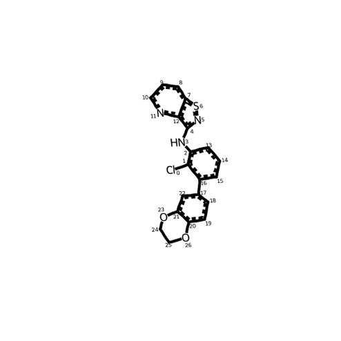 Clc1c(Nc2nsc3cccnc23)cccc1-c1ccc2c(c1)OCCO2